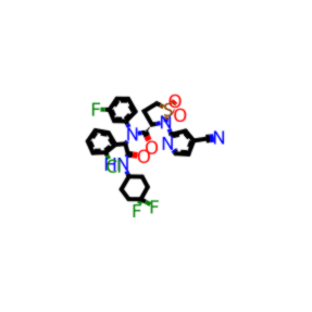 N#Cc1ccnc(N2[C@H](C(=O)N(c3cccc(F)c3)C(C(=O)NC3CCC(F)(F)CC3)c3ccccc3Cl)CCS2(=O)=O)c1